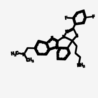 CN(C)Cc1ccc2nc(N3N=C(c4cc(F)ccc4F)SC3(CCCN)c3ccccc3)sc2c1